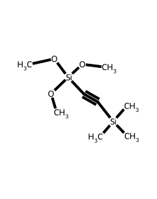 CO[Si](C#C[Si](C)(C)C)(OC)OC